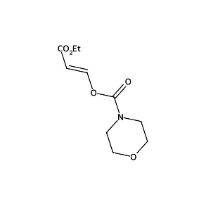 CCOC(=O)C=COC(=O)N1CCOCC1